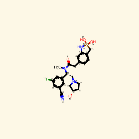 CN(C(=O)Cc1ccc2c(c1)NS(O)(O)C2)[C@H](CN1CC[C@H](O)C1)c1cc(F)cc(C#N)c1